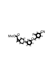 COC(=O)C1CC12CCN(c1cccc(OCc3ccc(C#N)cc3F)n1)CC2